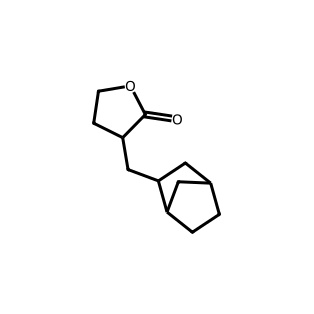 O=C1OCCC1CC1CC2CCC1C2